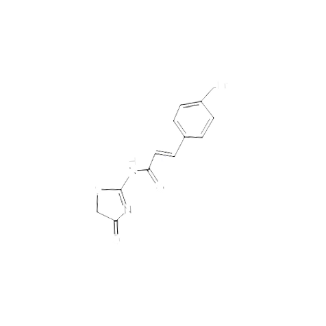 CC(C)c1ccc(/C=C/C(=O)NC2=NC(=O)CS2)cc1